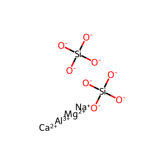 [Al+3].[Ca+2].[Mg+2].[Na+].[O-][Si]([O-])([O-])[O-].[O-][Si]([O-])([O-])[O-]